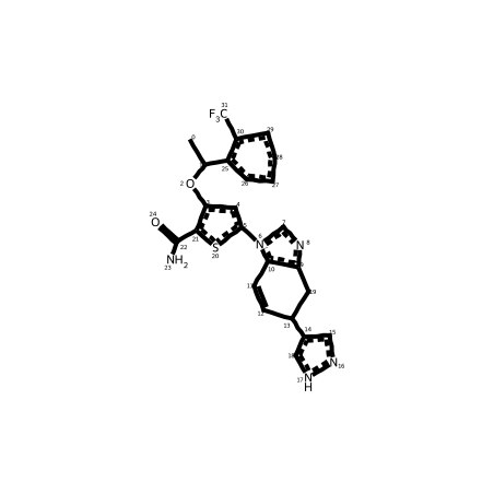 CC(Oc1cc(-n2cnc3c2C=CC(c2cn[nH]c2)C3)sc1C(N)=O)c1ccccc1C(F)(F)F